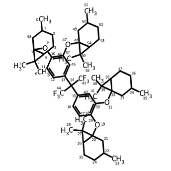 CC1CCC2C(C)(C)C2(Oc2ccc(C(c3ccc(OC45CC(C)CCC4C5(C)C)c(OC45CC(C)CCC4C5(C)C)c3)(C(F)(F)F)C(F)(F)F)cc2OC23CC(C)CCC2C3(C)C)C1